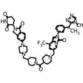 C[C@H](c1cccc(-n2cc3c(C(F)(F)F)cc(CN4CCC(C(=O)N5CCC(CN6CCN(c7ccc8c(c7)CN(C7CCC(=O)NC7=O)C8=O)CC6)CC5)CC4)cn3c2=O)c1)c1nncn1C